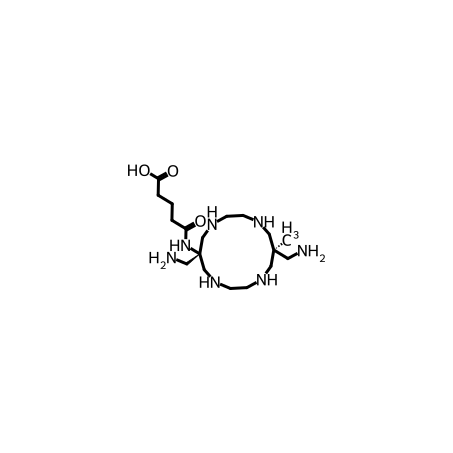 C[C@]1(CN)CNCCNC[C@](CN)(NC(=O)CCCC(=O)O)CNCCNC1